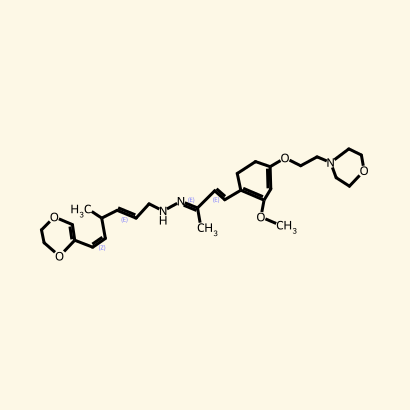 COC1=C(/C=C/C(C)=N/NC/C=C/C(C)/C=C\C2=COCCO2)CCC(OCCN2CCOCC2)=C1